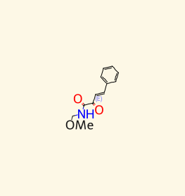 COCNC(=O)C(=O)/C=C/c1ccccc1